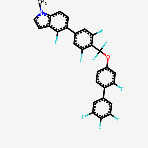 Cn1ccc2c(F)c(-c3cc(F)c(C(F)(F)Oc4ccc(-c5cc(F)c(F)c(F)c5)c(F)c4)c(F)c3)ccc21